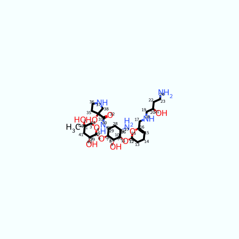 C[C@]1(O)CO[C@H](O[C@@H]2[C@@H](O)[C@H](O[C@@H]3CCC=C(CNCC(O)CCN)O3)[C@@H](N)C[C@H]2NC(=O)C2(O)CCNC2)[C@H](O)C1